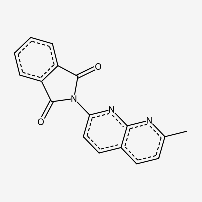 Cc1ccc2ccc(N3C(=O)c4ccccc4C3=O)nc2n1